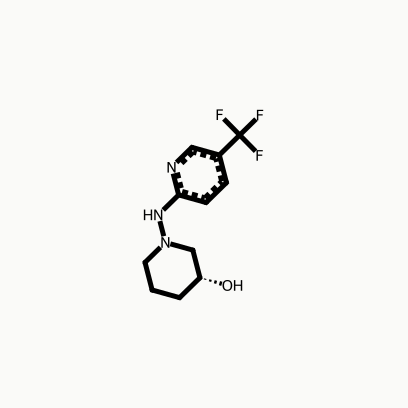 O[C@@H]1CCCN(Nc2ccc(C(F)(F)F)cn2)C1